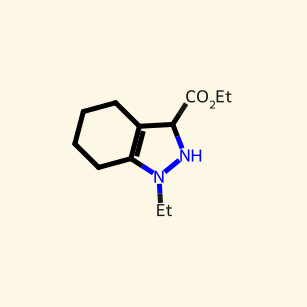 CCOC(=O)C1NN(CC)C2=C1CCCC2